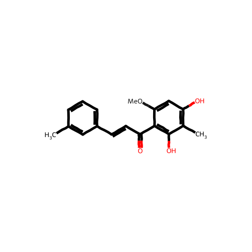 COc1cc(O)c(C)c(O)c1C(=O)C=Cc1cccc(C)c1